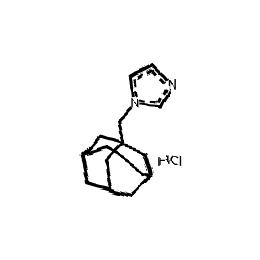 Cl.c1cn(CC23CC4CC(CC(C4)C2)C3)cn1